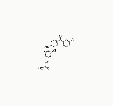 O=C(O)/C=C/c1cnc(NC2CCN(C(=O)c3cccc(Cl)c3)CC2)c(Cl)c1